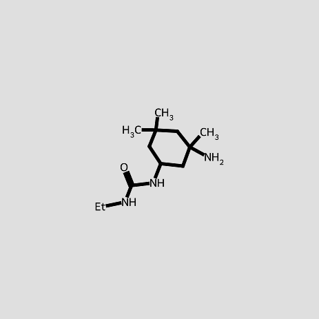 CCNC(=O)NC1CC(C)(C)CC(C)(N)C1